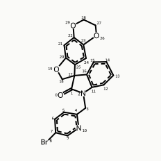 O=C1N(Cc2ccc(Br)cn2)c2ccccc2C12COc1cc3c(cc12)OCCO3